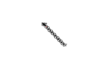 [N-]=[N+]=NCCOCCOCCOCCOCCOCCOCCOCCOCCOCCOCCOCCBr